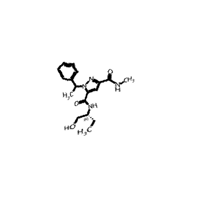 CC[C@H](CO)NC(=O)c1cc(C(=O)NC)nn1C(C)c1ccccc1